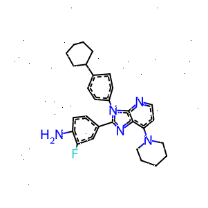 Nc1ccc(-c2nc3c(N4CCCCC4)ccnc3n2-c2ccc(C3CCCCC3)cc2)cc1F